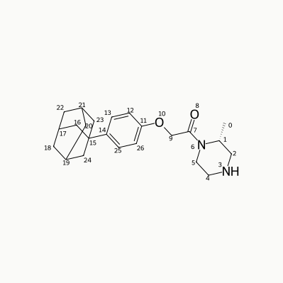 C[C@@H]1CNCCN1C(=O)COc1ccc(C23CC4CC(CC(C4)C2)C3)cc1